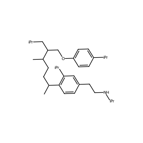 CC(C)CC(COc1ccc(C(C)C)cc1)C(C)CCC(C)c1ccc(CCNC(C)C)cc1C(C)C